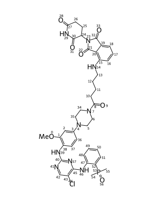 COc1cc(N2CCN(C(=O)CCCCNc3cccc4c3C(=O)N(C3CCC(=O)NC3=O)C4=O)CC2)ccc1Nc1ncc(Cl)c(Nc2ccccc2P(C)(C)=O)n1